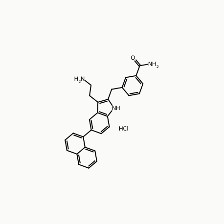 Cl.NCCc1c(Cc2cccc(C(N)=O)c2)[nH]c2ccc(-c3cccc4ccccc34)cc12